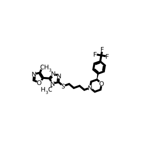 Cc1ncoc1-c1nnc(SCCCCN2CCO[C@H](c3ccc(C(F)(F)F)cc3)C2)n1C